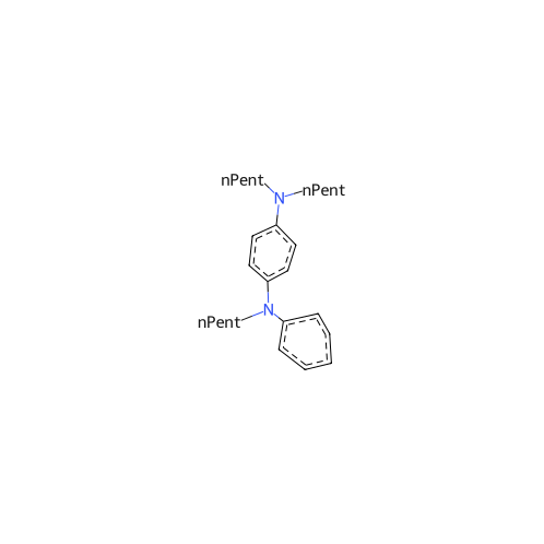 CCCCCN(CCCCC)c1ccc(N(CCCCC)c2ccccc2)cc1